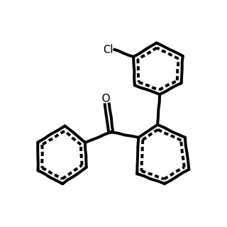 O=C(c1ccccc1)c1ccccc1-c1cccc(Cl)c1